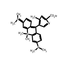 Cc1cc(C(=O)O)ncc1C1=C2C=CC(=[N+](C)C)C=C2[Si](C)(C)c2cc(N(C)C)ccc21